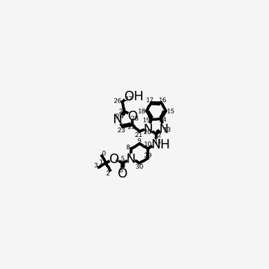 CC(C)(C)OC(=O)N1CCC(Nc2nc3ccccc3n2Cc2cnc(CO)o2)CC1